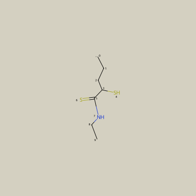 [CH2]CCC(S)C(=S)NCC